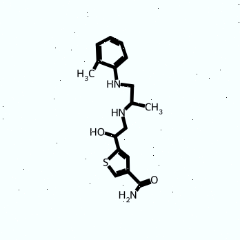 Cc1ccccc1NCC(C)NCC(O)c1cc(C(N)=O)cs1